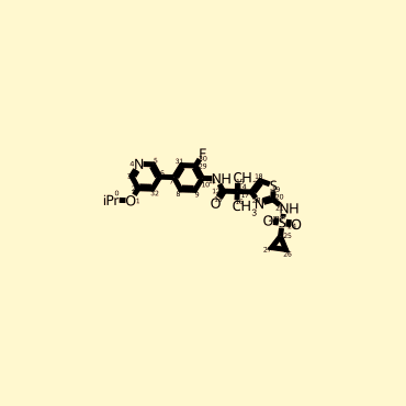 CC(C)Oc1cncc(-c2ccc(NC(=O)C(C)(C)c3csc(NS(=O)(=O)C4CC4)n3)c(F)c2)c1